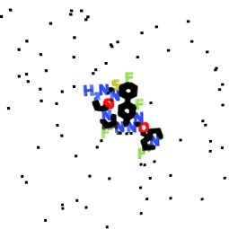 C=CC(=O)N1C[C@@H](F)[C@@H](N(C)c2nc(OC[C@@]34CCCN3C[C@H](F)C4)nc3c(F)c(-c4ccc(F)c5sc(N)nc45)ccc23)C1